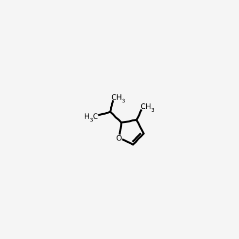 CC(C)C1OC=CC1C